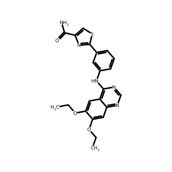 CCOc1cc2ncnc(Nc3cccc(-c4nc(C(N)=O)cs4)c3)c2cc1OCC